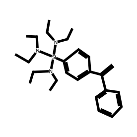 C=C(c1ccccc1)c1ccc([Si](N(CC)CC)(N(CC)CC)N(CC)CC)cc1